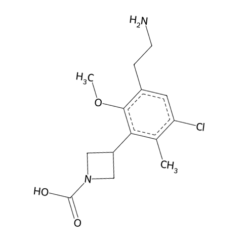 COc1c(CCN)cc(Cl)c(C)c1C1CN(C(=O)O)C1